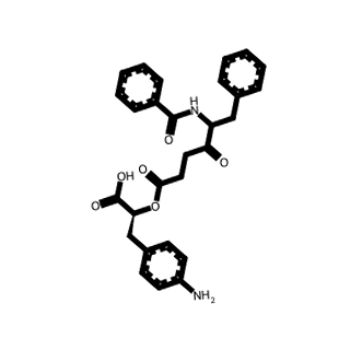 Nc1ccc(C[C@H](OC(=O)CCC(=O)C(Cc2ccccc2)NC(=O)c2ccccc2)C(=O)O)cc1